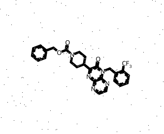 O=C(OCc1ccccc1)N1CCC(c2nc3nccnc3n(Cc3ccccc3C(F)(F)F)c2=O)CC1